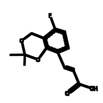 CC1(C)OCc2c(F)ccc(/C=C/C(=O)O)c2O1